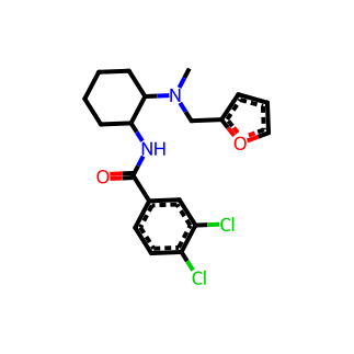 CN(Cc1ccco1)C1CCCCC1NC(=O)c1ccc(Cl)c(Cl)c1